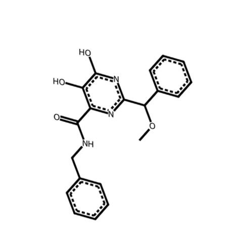 COC(c1ccccc1)c1nc(O)c(O)c(C(=O)NCc2ccccc2)n1